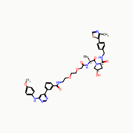 Cc1ncsc1-c1ccc(CNC(=O)[C@@H]2C[C@@H](O)CN2C(=O)[C@@H](NC(=O)COCCOCCNC(=O)c2cccc(-c3cc(Nc4ccc(OC(F)(F)F)cc4)ncn3)c2)C(C)(C)C)cc1